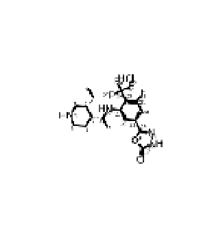 CC[C@H]1CNCC[C@H]1C(C)Nc1cc(-c2n[nH]c(=O)o2)cc(F)c1C(F)(F)F.Cl